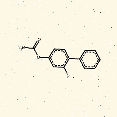 NC(=O)Oc1ccc(-c2ccccc2)c(F)c1